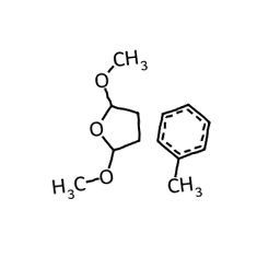 COC1CCC(OC)O1.Cc1ccccc1